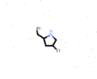 CCC1CNC(CC(C)C)C1